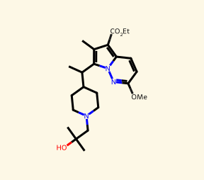 CCOC(=O)c1c(C)c(C(C)C2CCN(CC(C)(C)O)CC2)n2nc(OC)ccc12